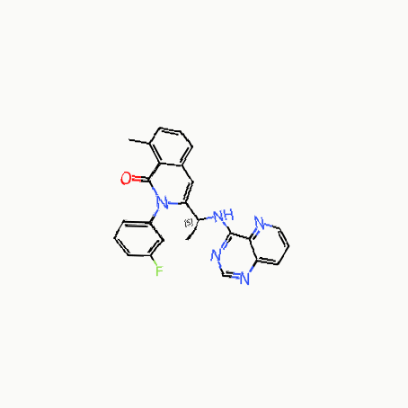 Cc1cccc2cc([C@H](C)Nc3ncnc4cccnc34)n(-c3cccc(F)c3)c(=O)c12